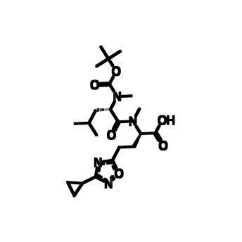 CC(C)C[C@@H](C(=O)N(C)[C@H](CCc1nc(C2CC2)no1)C(=O)O)N(C)C(=O)OC(C)(C)C